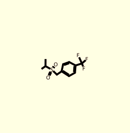 CC(C)S(=O)(=O)Cc1ccc(C(F)(F)F)cc1